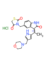 C/C(=C1\C(=O)Nc2ccc(CN3C(=O)CSC3=O)cc21)c1cc(CN2CCOCC2)c[nH]1.Cl